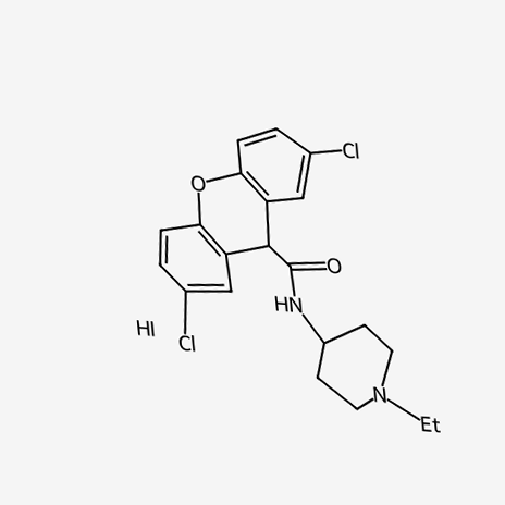 CCN1CCC(NC(=O)C2c3cc(Cl)ccc3Oc3ccc(Cl)cc32)CC1.I